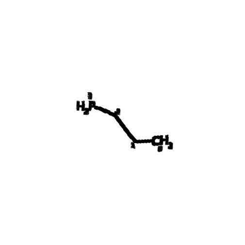 CC[CH]P